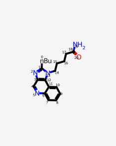 CCCCc1nc2cnc3ccccc3c2n1CCCCC(N)=O